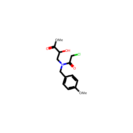 COC(=O)C(O)CN(Cc1ccc(OC)cc1)C(=O)CCl